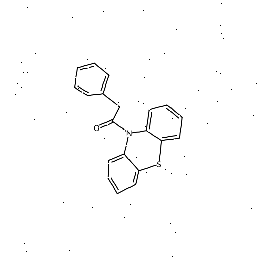 O=C(Cc1ccccc1)N1c2ccccc2Sc2ccccc21